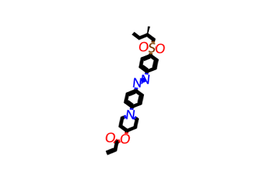 C=CC(=O)OC1CCN(c2ccc(/N=N/c3ccc(S(=O)(=O)C[C@H](C)CC)cc3)cc2)CC1